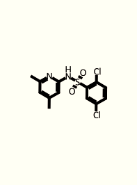 Cc1cc(C)nc(NS(=O)(=O)c2cc(Cl)ccc2Cl)c1